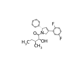 CC[C@H](C)[C@H](O)C(=O)N1CC(c2cc(F)ccc2F)=C[C@H]1c1ccccc1